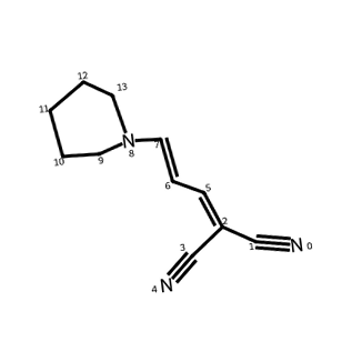 N#CC(C#N)=CC=CN1CCCCC1